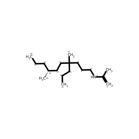 C=C(C)NCCCC(C)(CCC)CC[C@H](C)CCC